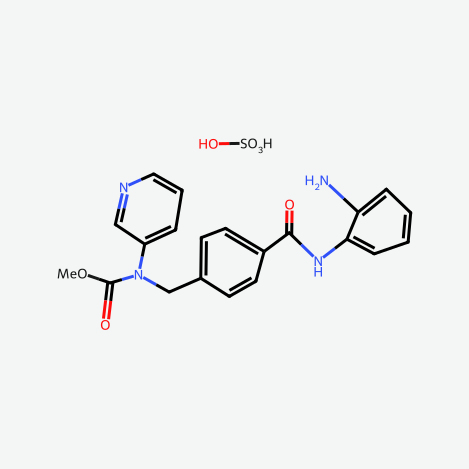 COC(=O)N(Cc1ccc(C(=O)Nc2ccccc2N)cc1)c1cccnc1.O=S(=O)(O)O